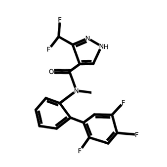 CN(C(=O)c1c[nH]nc1C(F)F)c1ccccc1-c1cc(F)c(F)cc1F